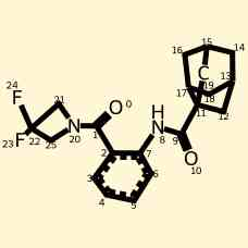 O=C(c1ccccc1NC(=O)C12CC3CC(CC1C3)C2)N1CC(F)(F)C1